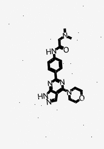 CN(C)CC(=O)Nc1ccc(-c2nc(N3CCOCC3)c3cn[nH]c3n2)cc1